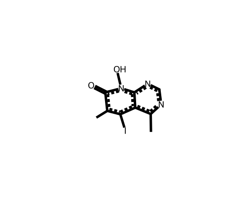 Cc1c(I)c2c(C)ncnc2n(O)c1=O